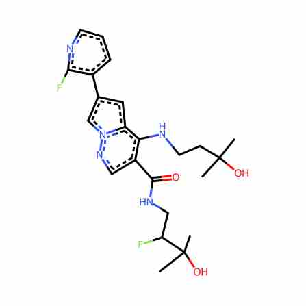 CC(C)(O)CCNc1c(C(=O)NCC(F)C(C)(C)O)cnn2cc(-c3cccnc3F)cc12